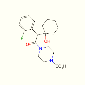 O=C(O)N1CCN(C(=O)C(c2ccccc2F)C2(O)CCCCC2)CC1